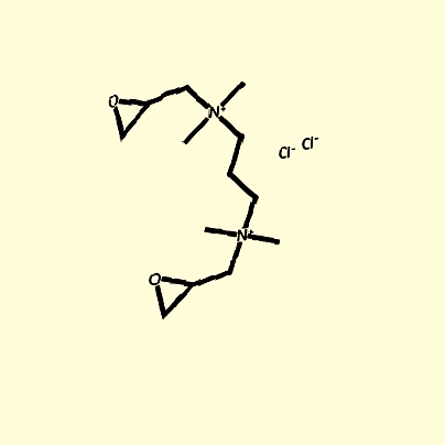 C[N+](C)(CCC[N+](C)(C)CC1CO1)CC1CO1.[Cl-].[Cl-]